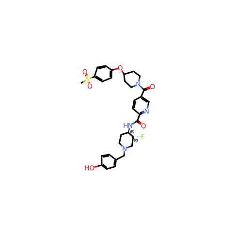 CS(=O)(=O)c1ccc(OC2CCN(C(=O)c3ccc(C(=O)N[C@@H]4CCN(Cc5ccc(O)cc5)C[C@H]4F)nc3)CC2)cc1